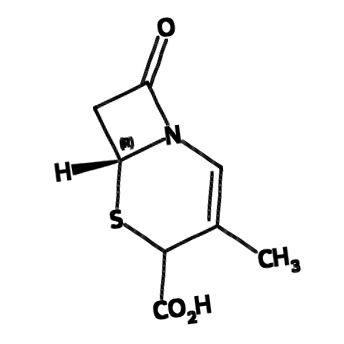 CC1=CN2C(=O)C[C@H]2SC1C(=O)O